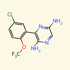 Nc1cnc(N)c(-c2cc(Cl)ccc2OC(F)(F)F)n1